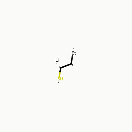 CCCCS.[Li]